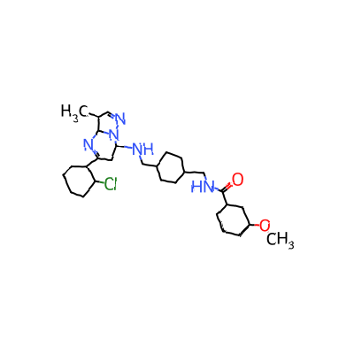 COC1CCCC(C(=O)NCC2CCC(CNC3CC(C4CCCCC4Cl)=NC4C(C)C=NN34)CC2)C1